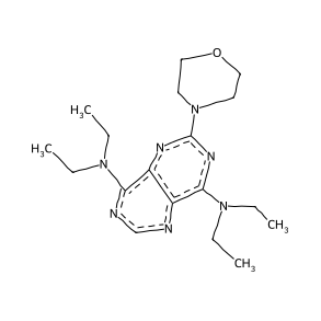 CCN(CC)c1nc(N2CCOCC2)nc2c(N(CC)CC)ncnc12